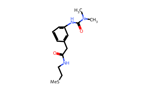 CSCCNC(=O)Cc1cccc(NC(=O)N(C)C)c1